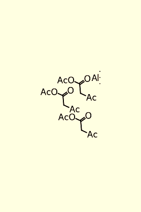 CC(=O)CC(=O)OC(C)=O.CC(=O)CC(=O)OC(C)=O.CC(=O)CC(=O)OC(C)=O.[Al]